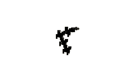 F[B-](F)(F)F.F[B-](F)(F)F.F[B-](F)(F)F.F[B-](F)(F)F.[Si+4]